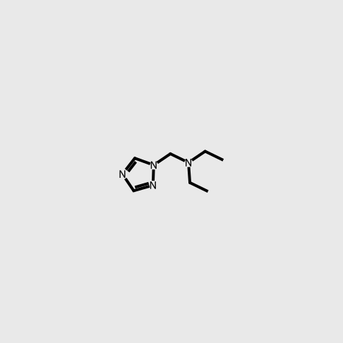 CCN(CC)Cn1cncn1